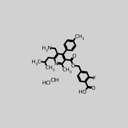 Cc1ccc(-c2c(CN)c(CC(C)C)nc(C)c2C(=O)OCc2ccc(C(=O)O)c(F)c2)cc1.Cl.Cl